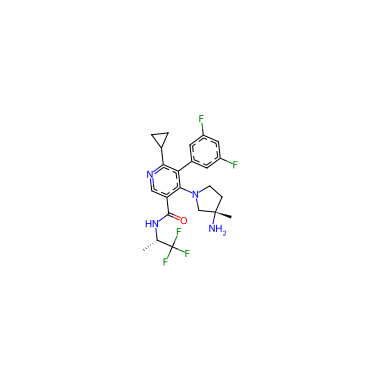 C[C@H](NC(=O)c1cnc(C2CC2)c(-c2cc(F)cc(F)c2)c1N1CC[C@](C)(N)C1)C(F)(F)F